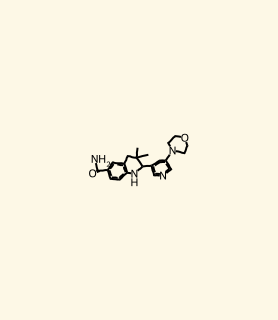 CC1(C)Cc2cc(C(N)=O)ccc2NC1c1cncc(N2CCOCC2)c1